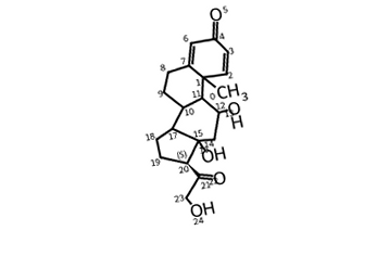 CC12C=CC(=O)C=C1CCC1C2C(O)CC2(O)C1CC[C@@H]2C(=O)CO